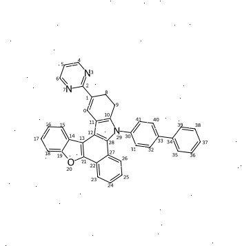 C1=C(c2ncccn2)CCc2c1c1c3c4ccccc4oc3c3ccccc3c1n2-c1ccc(-c2ccccc2)cc1